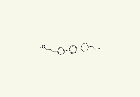 CCC[C@H]1CC[C@H](c2ccc(-c3ccc(CCCOC)cc3)cc2)CC1